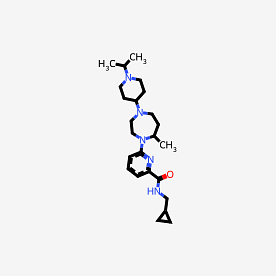 CC(C)N1CCC(N2CCC(C)N(c3cccc(C(=O)NCC4CC4)n3)CC2)CC1